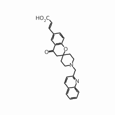 O=C(O)/C=C/c1ccc2c(c1)C(=O)CC1(CCN(Cc3ccc4ccccc4n3)CC1)O2